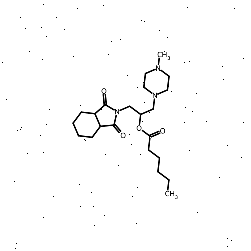 CCCCCC(=O)OC(CN1CCN(C)CC1)CN1C(=O)C2CCCCC2C1=O